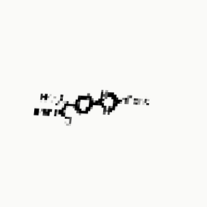 CCCCCc1cnc(-c2ccc(C(C(=O)O)C(Cl)C(C)CCC)cc2)nc1